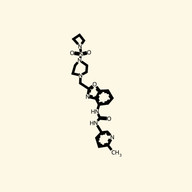 Cc1ccc(NC(=O)Nc2cccc3oc(CN4CCN(S(=O)(=O)N5CCC5)CC4)nc23)cn1